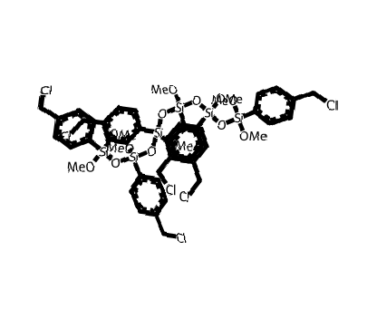 CO[Si](OC)(O[Si](OC)(O[Si](OC)(O[Si](OC)(O[Si](OC)(O[Si](OC)(OC)c1ccc(CCl)cc1)c1ccc(CCl)cc1)c1ccc(CCl)cc1)c1ccc(CCl)cc1)c1ccc(CCl)cc1)c1ccc(CCl)cc1